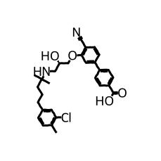 Cc1ccc(CCCC(C)(C)NC[C@@H](O)COc2cc(-c3ccc(C(=O)O)cc3)ccc2C#N)cc1Cl